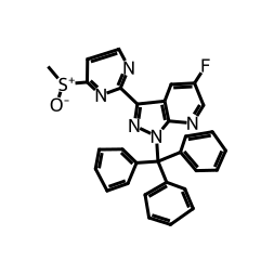 C[S+]([O-])c1ccnc(-c2nn(C(c3ccccc3)(c3ccccc3)c3ccccc3)c3ncc(F)cc23)n1